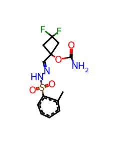 Cc1ccccc1S(=O)(=O)NN=CC1(OC(N)=O)CC(F)(F)C1